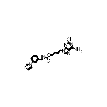 Nc1nc(Cl)nc2c1ncn2CCCCOC(=O)NCc1cccc(-n2ccnc2)c1